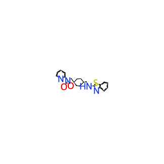 O=C1O[C@]2(CC[C@H](CNc3nc4ccccc4s3)CC2)CN1c1ccccn1